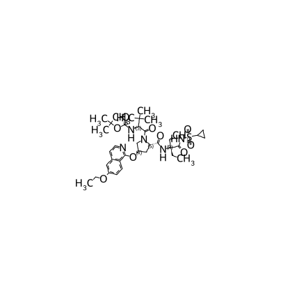 C=C[C@@](CC)(NC(=O)[C@@H]1C[C@@H](Oc2nccc3cc(OCC)ccc23)CN1C(=O)[C@@H](NC(=O)OC(C)(C)C)C(C)(C)C)C(=O)NS(=O)(=O)C1CC1